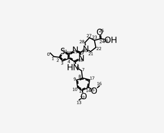 CCc1cc2c(NCc3ccc(OC)c(OC)c3)nc(N3CCC(C(=O)O)CC3)nc2s1